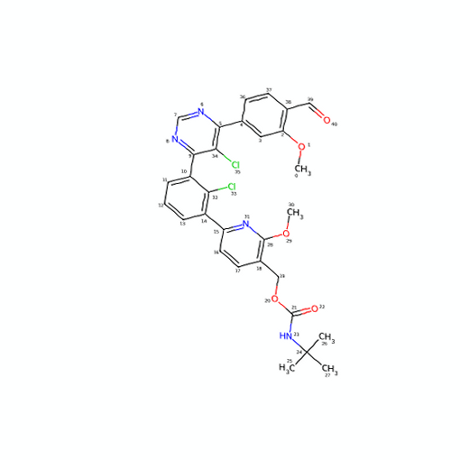 COc1cc(-c2ncnc(-c3cccc(-c4ccc(COC(=O)NC(C)(C)C)c(OC)n4)c3Cl)c2Cl)ccc1C=O